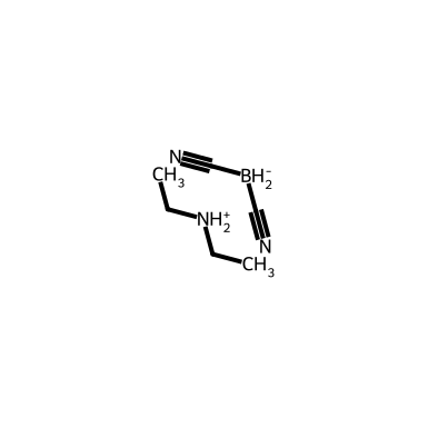 CC[NH2+]CC.N#C[BH2-]C#N